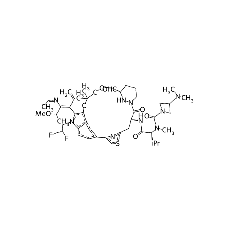 C=C/C(=C(\N=C/C)[C@H](C)OC)c1c2c3cc(ccc3n1CC(F)F)-c1csc(n1)C[C@H](NC(=O)[C@H](C(C)C)N(C)C(=O)N1CC(N(C)C)C1)C(=O)N1CCC[C@](C=O)(COCC(C)(C)C2)N1